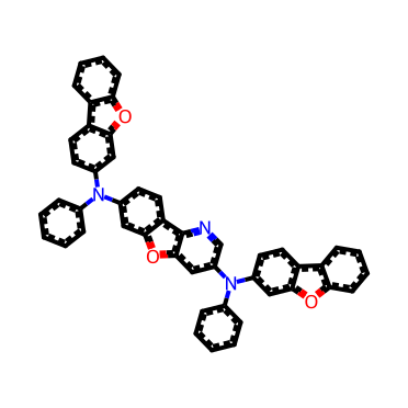 c1ccc(N(c2ccc3c(c2)oc2ccccc23)c2ccc3c(c2)oc2cc(N(c4ccccc4)c4ccc5c(c4)oc4ccccc45)cnc23)cc1